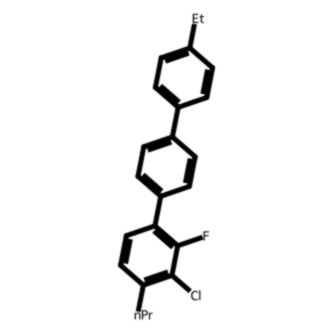 CCCc1ccc(-c2ccc(-c3ccc(CC)cc3)cc2)c(F)c1Cl